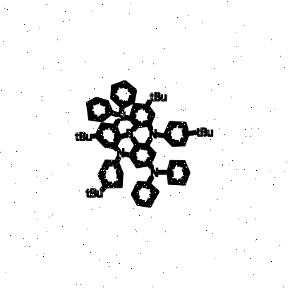 CC(C)(C)c1ccc(N2c3cc(N(c4ccccc4)c4ccccc4)cc4c3B3c5c2cc(C(C)(C)C)cc5[Si](c2ccccc2)(c2ccccc2)c2cc(C(C)(C)C)cc(c23)N4c2ccc(C(C)(C)C)cc2)cc1